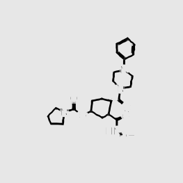 O=C(NO)C1CC(OC(=O)N2CCCC2)CC[C@@H]1C(=O)N1CCN(c2ccccc2)CC1